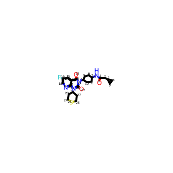 O=C(CC1CC1)NC1CCC(n2c(=O)c3cc(F)cnc3n(C3CCSCC3)c2=O)CC1